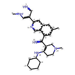 CN/C=C(\C=N)c1cc2cc(C)cc(C(=N)C3=C(NC4CCCCC4)CCN(C)C3)c2cn1